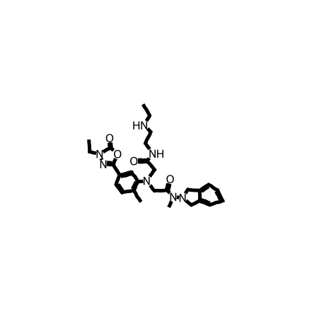 CCNCCNC(=O)CN(CC(=O)N(C)N1Cc2ccccc2C1)c1cc(-c2nn(CC)c(=O)o2)ccc1C